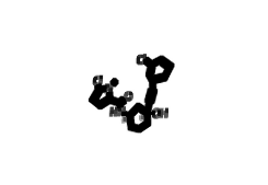 Cn1c(Cl)ccc1C(=O)N[C@@H]1CCC[C@](O)(C#Cc2cccc(Cl)c2)C1